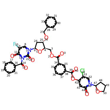 O=C(OC[C@H]1O[C@@H](n2cc(F)c(=O)n(C(=O)c3ccccc3)c2=O)C[C@@H]1OCc1ccccc1)c1cccc(C(=O)Oc2cc(=O)n(C3CCCO3)cc2Cl)c1